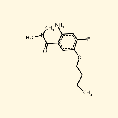 CCCCOc1cc(C(=O)N(C)C)c(N)cc1F